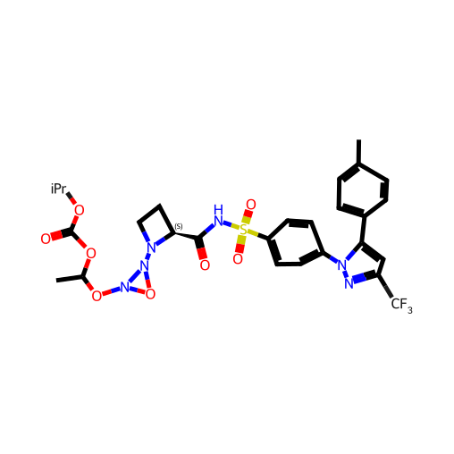 Cc1ccc(-c2cc(C(F)(F)F)nn2-c2ccc(S(=O)(=O)NC(=O)[C@@H]3CCN3n3on3OC(C)OC(=O)OC(C)C)cc2)cc1